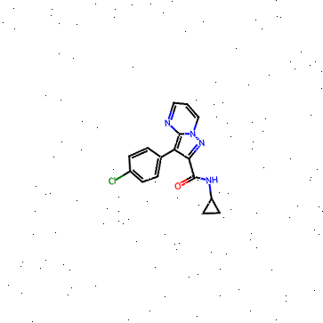 O=C(NC1CC1)c1nn2cccnc2c1-c1ccc(Cl)cc1